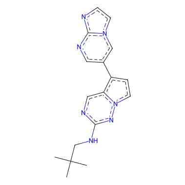 CC(C)(C)CNc1ncc2c(-c3cnc4nccn4c3)ccn2n1